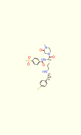 CN1CCN(C(=O)[C@H](CCCN[C@@H]2C[C@H]2c2ccc(F)cc2)NC(=O)c2ccc(S(C)(=O)=O)cc2)CC1=O